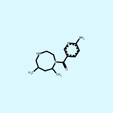 Bc1ccc(C(=O)N2CCNCC(C)CC2C)cn1